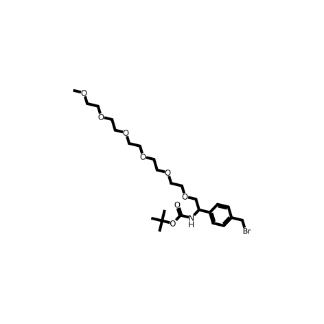 COCCOCCOCCOCCOCCOCC(NC(=O)OC(C)(C)C)c1ccc(CBr)cc1